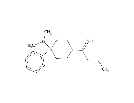 CCCC(=N)[C]1CCC(c2ccccc2)(N(C)C)CC1